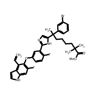 C=Cc1c(Oc2ccc(F)c(-c3ncc(C(C)(CCCCC(C)(C)C(=O)OC)c4cccc(Br)c4)[nH]3)c2)c(F)cc2[nH]ccc12